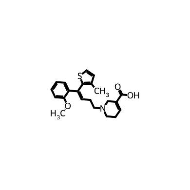 COc1ccccc1C(=CCCN1CCC=C(C(=O)O)C1)c1sccc1C